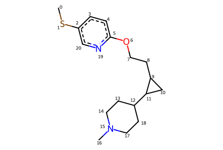 CSc1ccc(OCCC2CC2C2CCN(C)CC2)nc1